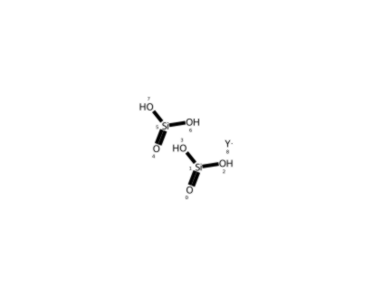 O=[Si](O)O.O=[Si](O)O.[Y]